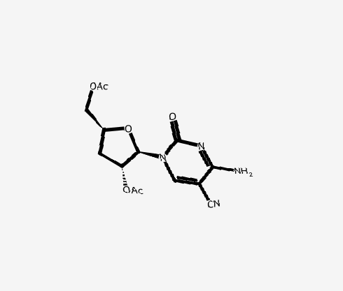 CC(=O)OC[C@@H]1C[C@@H](OC(C)=O)[C@H](n2cc(C#N)c(N)nc2=O)O1